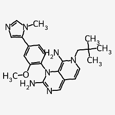 COc1cc(-c2cncn2C)ccc1N1C(N)=NC=C2C=CN(CC(C)(C)C)C(N)=C21